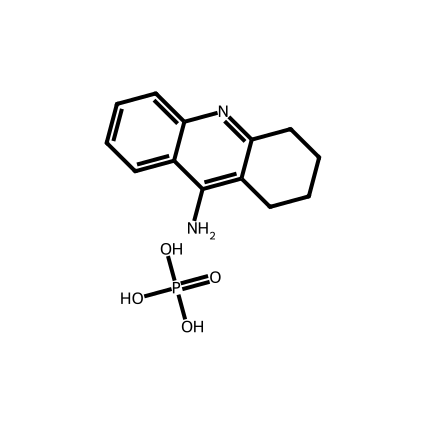 Nc1c2c(nc3ccccc13)CCCC2.O=P(O)(O)O